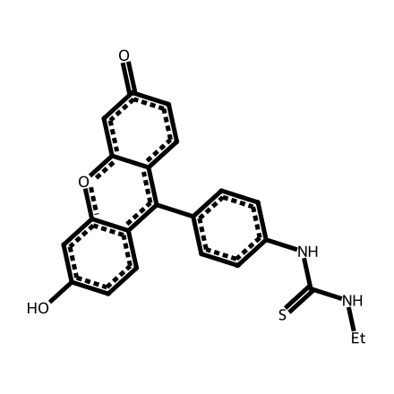 CCNC(=S)Nc1ccc(-c2c3ccc(=O)cc-3oc3cc(O)ccc23)cc1